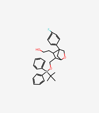 CC(C)(C)[Si](OCC1C2CC(c3ccc(F)cc3)(CO2)C1CCO)(c1ccccc1)c1ccccc1